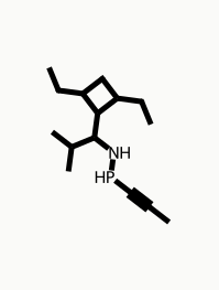 CC#CPNC(C(C)C)C1C(CC)CC1CC